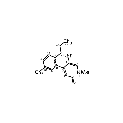 C=C/C=C(\C(=C/NC)CC)c1cc(Cl)ccc1CCC(F)(F)F